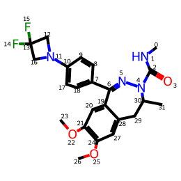 CNC(=O)N1N=C(c2ccc(N3CC(F)(F)C3)cc2)c2cc(OC)c(OC)cc2CC1C